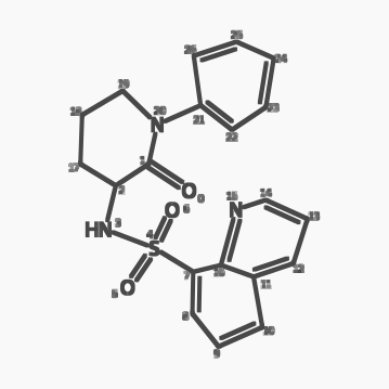 O=C1C(NS(=O)(=O)c2cccc3cccnc23)CCCN1c1ccccc1